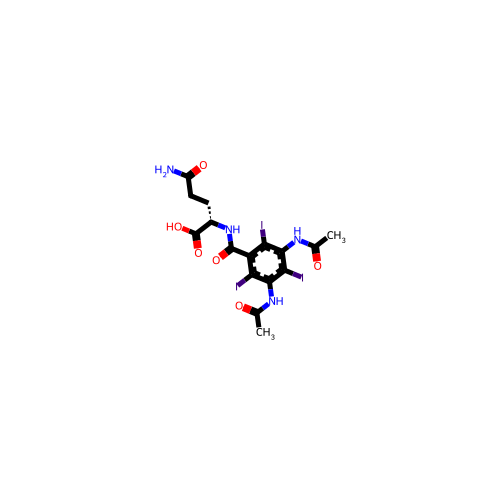 CC(=O)Nc1c(I)c(NC(C)=O)c(I)c(C(=O)N[C@@H](CCC(N)=O)C(=O)O)c1I